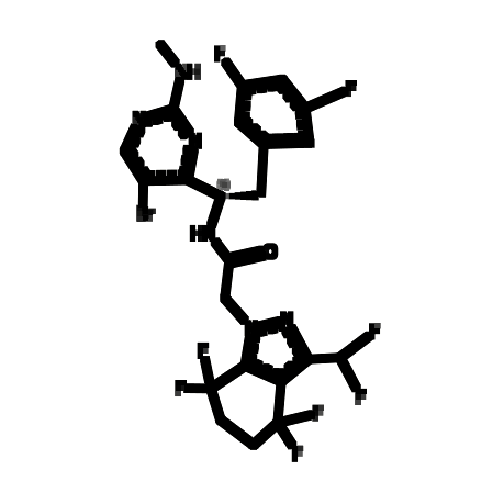 CNc1ncc(Br)c([C@H](Cc2cc(F)cc(F)c2)NC(=O)Cn2nc(C(F)F)c3c2C(F)(F)CCC3(F)F)n1